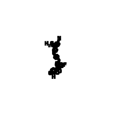 COc1cc(C#N)ccc1N1CCN(Cc2ccc(Cc3ccc4c5c(cc(F)cc35)C(=O)N4C3CCC(=O)NC3=O)cc2)CC1